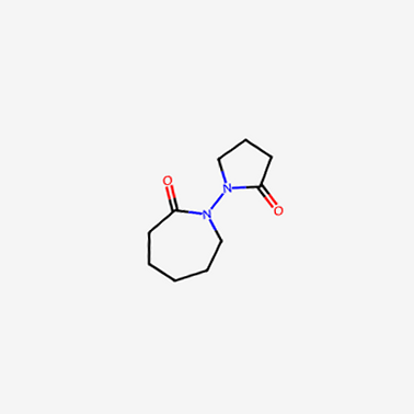 O=C1CCCCCN1N1CCCC1=O